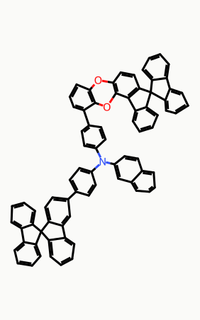 c1ccc2c(c1)-c1ccccc1C21c2ccccc2-c2cc(-c3ccc(N(c4ccc(-c5cccc6c5Oc5c(ccc7c5-c5ccccc5C75c7ccccc7-c7ccccc75)O6)cc4)c4ccc5ccccc5c4)cc3)ccc21